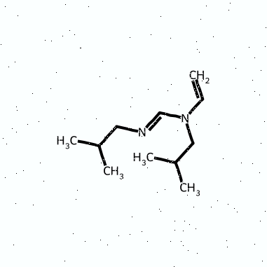 C=CN(C=NCC(C)C)CC(C)C